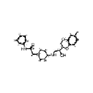 Cc1ccc2c(c1)OCC(C(O)CNC1CCN(CC(=O)Nc3ccccc3)CC1)O2